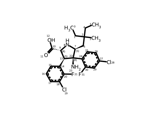 CCC(C)(CC)C[C@@H]1N[C@@H](C(=O)O)[C@H](c2cccc(Cl)c2F)[C@@]1(N)c1ccc(Cl)cc1F